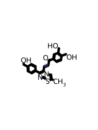 Cc1cn2c(/C=C/C(=O)c3ccc(CO)c(CO)c3)c(-c3ccc(CO)cc3)nc2s1